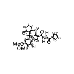 COc1cc(C2(C)C3=C(CCCC3=O)N(C)c3c(C(=O)NNC(=O)c4cccs4)cnn32)cc(Br)c1OC